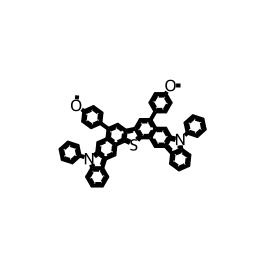 COc1ccc(-c2cc3c4cc(-c5ccc(OC)cc5)c5cc6c(cc5c4sc3c3cc4c5ccccc5n(-c5ccccc5)c4cc23)c2ccccc2n6-c2ccccc2)cc1